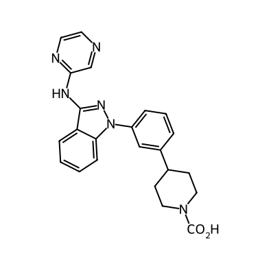 O=C(O)N1CCC(c2cccc(-n3nc(Nc4cnccn4)c4ccccc43)c2)CC1